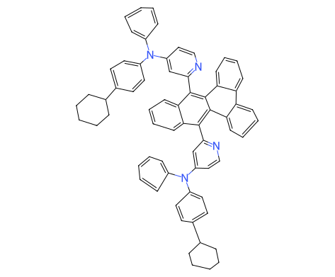 c1ccc(N(c2ccc(C3CCCCC3)cc2)c2ccnc(-c3c4ccccc4c(-c4cc(N(c5ccccc5)c5ccc(C6CCCCC6)cc5)ccn4)c4c5ccccc5c5ccccc5c34)c2)cc1